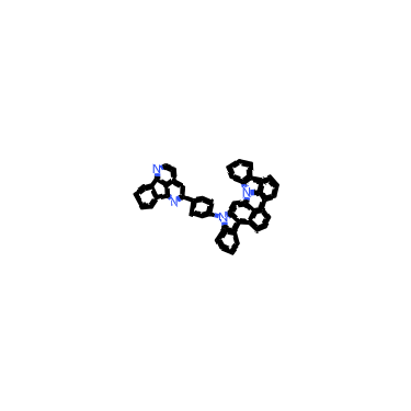 c1ccc2c(c1)-c1nccc3cc(-c4ccc(-n5c6ccccc6c6c7cccc8c9cccc%10c%11ccccc%11n(c(cc65)c87)c9%10)cc4)nc-2c13